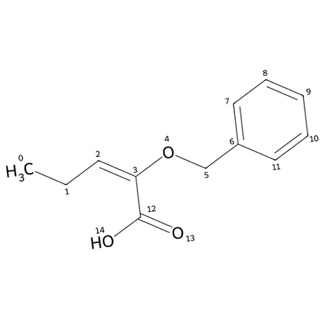 CC/C=C(/OCc1ccccc1)C(=O)O